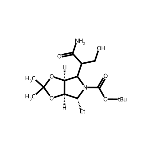 CC[C@@H]1[C@H]2OC(C)(C)O[C@H]2C(C(CO)C(N)=O)N1C(=O)OC(C)(C)C